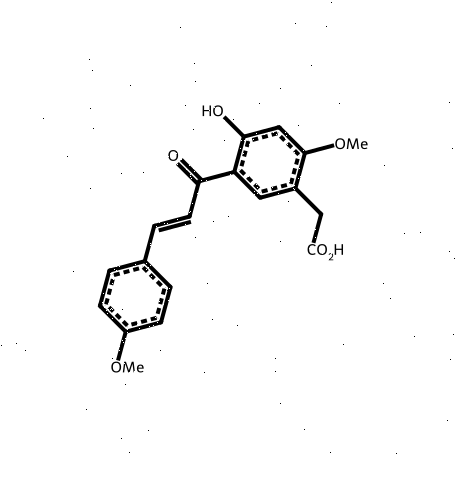 COc1ccc(C=CC(=O)c2cc(CC(=O)O)c(OC)cc2O)cc1